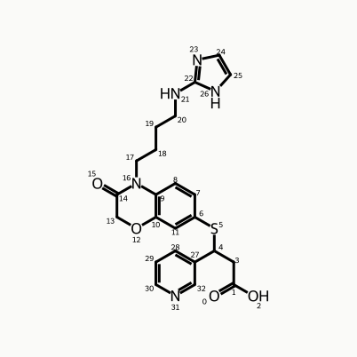 O=C(O)CC(Sc1ccc2c(c1)OCC(=O)N2CCCCNc1ncc[nH]1)c1cccnc1